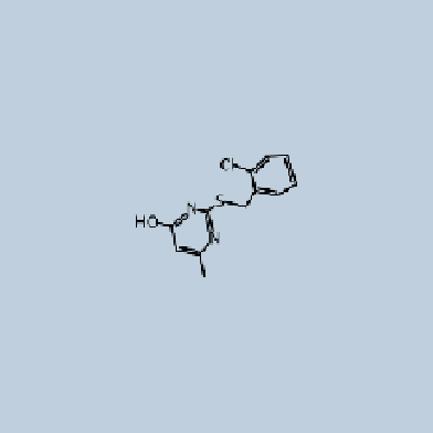 Cc1cc(O)nc(SCc2ccccc2Cl)n1